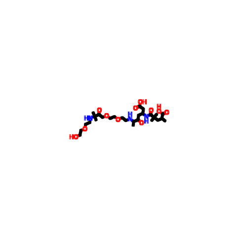 CC(CC(C)(C)C(=O)NC(CC(=O)O)CC(=O)C(C)NCCOCCOCC(=O)C(C)(C)NCCOCCO)C(=O)O